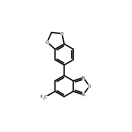 FC(F)(F)c1cc(-c2ccc3c(c2)OCO3)c2nonc2c1